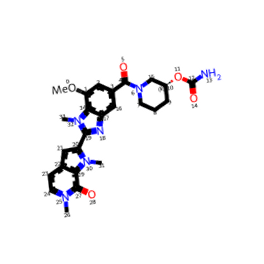 COc1cc(C(=O)N2CCC[C@@H](OC(N)=O)C2)cc2nc(-c3cc4ccn(C)c(=O)c4n3C)n(C)c12